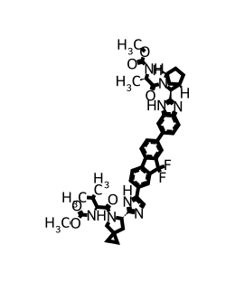 COC(=O)N[C@@H](C)C(=O)N1[C@@H]2CC[C@@H](C2)[C@H]1c1nc2ccc(-c3ccc4c(c3)C(F)(F)c3cc(-c5cnc([C@@H]6CC7(CC7)CN6C(=O)[C@@H](NC(=O)OC)C(C)C)[nH]5)ccc3-4)cc2[nH]1